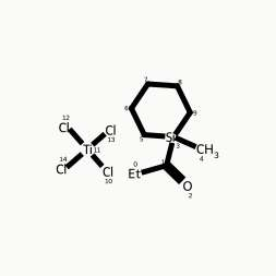 CCC(=O)[Si]1(C)CCCCC1.[Cl][Ti]([Cl])([Cl])[Cl]